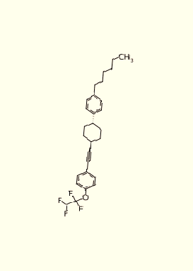 CCCCCCc1ccc([C@H]2CC[C@H](C#Cc3ccc(OC(F)(F)C(F)F)cc3)CC2)cc1